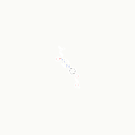 COCCOc1ccc(N2CCN(C(=O)CCC(C)C)CC2)cc1